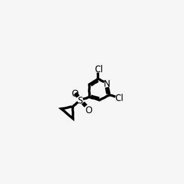 O=S(=O)(c1cc(Cl)nc(Cl)c1)C1CC1